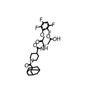 O=C(O)C[C@H](NC(=O)C1CCN(C(=O)C23CC4CC(CC(C4)C2)C3)CC1)C(=O)COc1c(F)c(F)cc(F)c1F